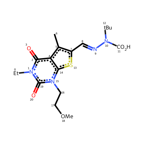 CCn1c(=O)c2c(C)c(/C=N/N(C(=O)O)C(C)(C)C)sc2n(CCOC)c1=O